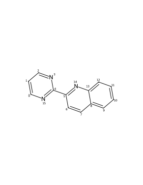 [c]1ccnc(-c2ccc3ccccc3n2)n1